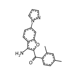 Cc1ccc(C(=O)c2oc3cc(-n4cccn4)ccc3c2N)c(C)c1